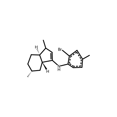 Cc1ccc(NC2=CC(C)[C@@H]3CC[C@@H](C)C[C@@H]23)c(Br)c1